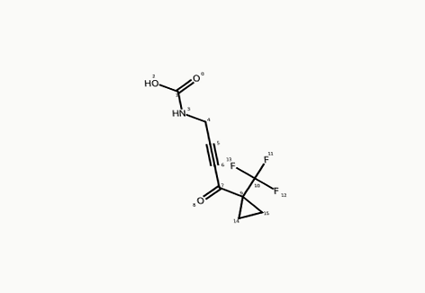 O=C(O)NCC#CC(=O)C1(C(F)(F)F)CC1